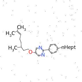 CCCCCCCc1ccc(-c2ncc(OCCC(C)CCC=C(C)C)cn2)cc1